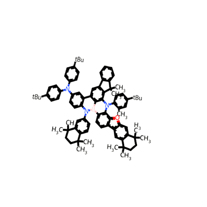 Cc1cc(C(C)(C)C)ccc1N1c2c3c(cc4c2C(C)(C)c2ccccc2-4)-c2cc(N(c4ccc(C(C)(C)C)cc4)c4ccc(C(C)(C)C)cc4)ccc2N(c2ccc4c(c2)C(C)(C)CCC4(C)C)B3c2ccc3c(oc4cc5c(cc43)C(C)(C)CCC5(C)C)c21